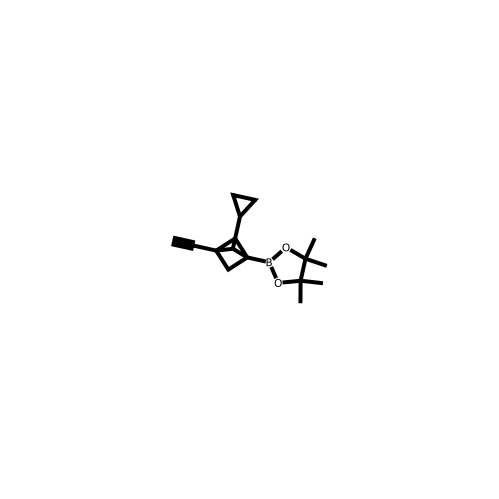 C#CC12CC(B3OC(C)(C)C(C)(C)O3)(C1)C2C1CC1